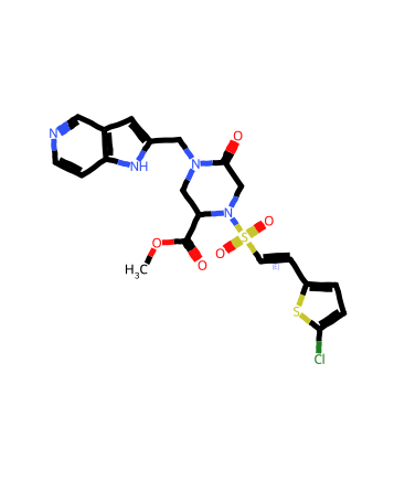 COC(=O)C1CN(Cc2cc3cnccc3[nH]2)C(=O)CN1S(=O)(=O)/C=C/c1ccc(Cl)s1